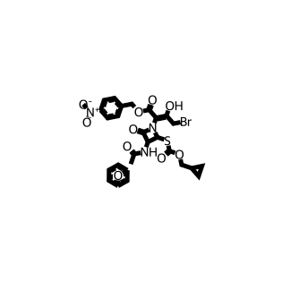 CC(=O)NC1C(=O)N(C(C(=O)OCc2ccc([N+](=O)[O-])cc2)=C(O)CBr)C1SC(=O)OCC1CC1.c1cc2cc(c1)O2